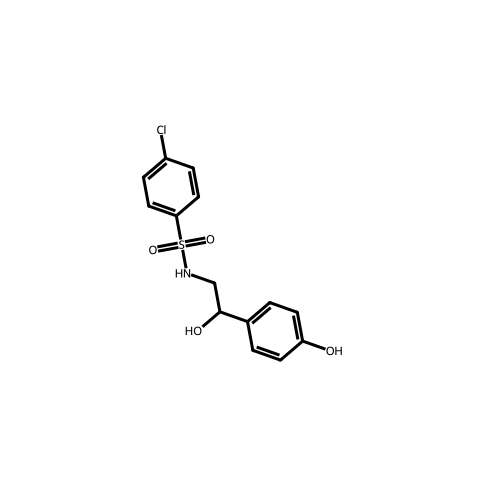 O=S(=O)(NCC(O)c1ccc(O)cc1)c1ccc(Cl)cc1